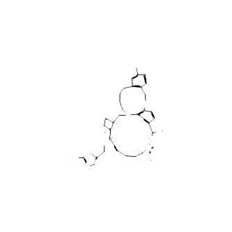 Cc1nnc(CO[C@H]2/C=C/CC[C@@H](C)S(=O)(=O)NC(O)c3ccc4c(c3)N(CCCCc3cc(Cl)ccc3CO4)C[C@@H]3CC[C@H]32)o1